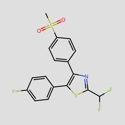 CS(=O)(=O)c1ccc(-c2nc(C(F)F)sc2-c2ccc(F)cc2)cc1